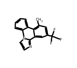 Cc1cc(C(F)(F)F)cc2c1c1ccccc1n1ccnc21